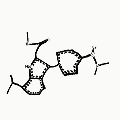 CNC(=O)c1[nH]c2c(C(C)C)cccc2c1-c1ccc([S+]([O-])N(C)C)cc1